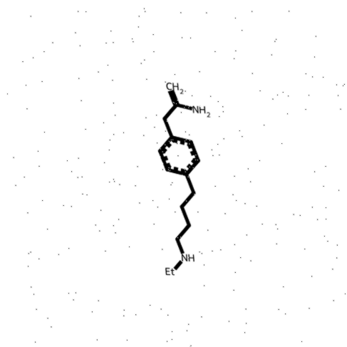 C=C(N)Cc1ccc(CCCCNCC)cc1